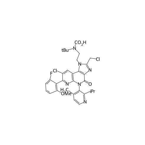 COc1cccc(F)c1-c1nc2c(cc1Cl)c1c(nc(CCl)n1CCN(C(=O)O)C(C)(C)C)c(=O)n2-c1c(C)ccnc1C(C)C